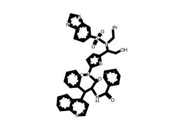 CC(C)CN(C(CO)c1ccc(N(C)C(=O)C(NC(=O)c2ccccc2)C(c2ccccc2)c2ccnc3ccccc23)s1)S(=O)(=O)c1ccc2ncsc2c1